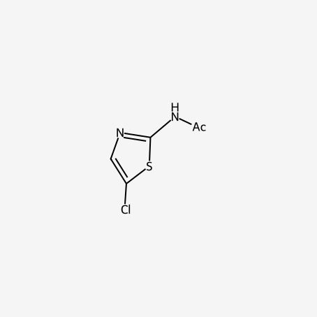 CC(=O)Nc1ncc(Cl)s1